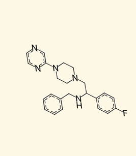 Fc1ccc(C(CN2CCN(c3cnccn3)CC2)NCc2ccccc2)cc1